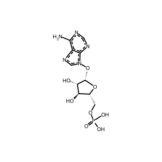 Nc1ncnc2c1ncn2O[C@@H]1O[C@H](COP(=O)(O)O)[C@@H](O)[C@@H]1O